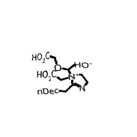 CCCCCCCCCCCC1=NCC[N+]1(CC(=O)O)C(C)OCC(=O)O.[OH-]